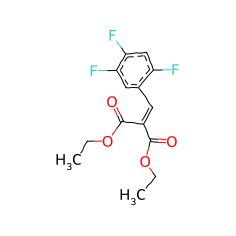 CCOC(=O)C(=Cc1cc(F)c(F)cc1F)C(=O)OCC